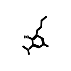 CCCCc1cc(C)cc(N(C)C)c1O